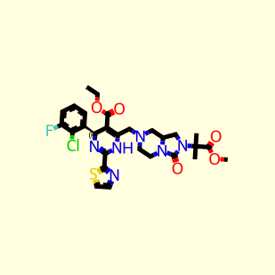 CCOC(=O)C1=C(CN2CCN3C(=O)N(C(C)(C)C(=O)OC)CC3C2)NC(c2nccs2)=N[C@H]1c1cccc(F)c1Cl